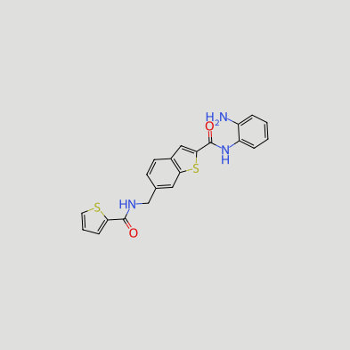 Nc1ccccc1NC(=O)c1cc2ccc(CNC(=O)c3cccs3)cc2s1